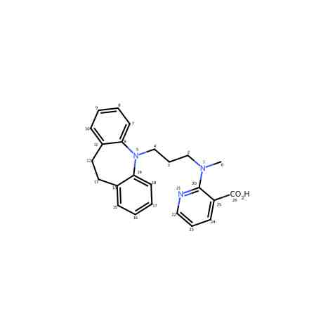 CN(CCCN1c2ccccc2CCc2ccccc21)c1ncccc1C(=O)O